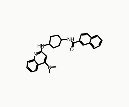 CN(C)c1cc(NC2CCC(NC(=O)c3ccc4ccccc4c3)CC2)nc2ccccc12